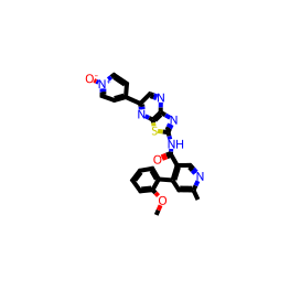 COc1ccccc1-c1cc(C)ncc1C(=O)Nc1nc2ncc(-c3cc[n+]([O-])cc3)nc2s1